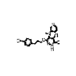 CN(c1cccnc1)c1c(OCCCc2ccc(Cl)cc2)n[nH]c(=O)c1Cl